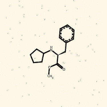 COC(=O)[C@H](Cc1ccccc1)NC1CCCC1